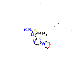 Cc1sc(N)nc1-c1nccc(N2CCOCC2)n1